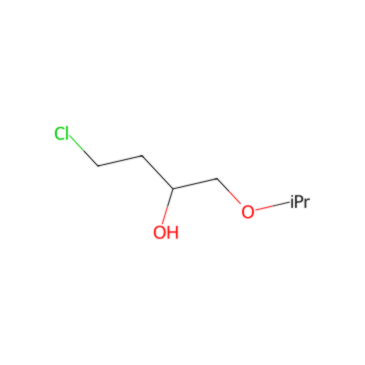 CC(C)OCC(O)CCCl